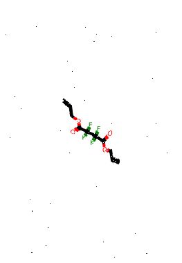 C=CCOC(=O)C(F)(F)C(F)(F)C(=O)OCC=C